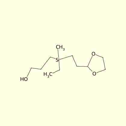 CC[Si](C)(CCCO)CCC1OCCO1